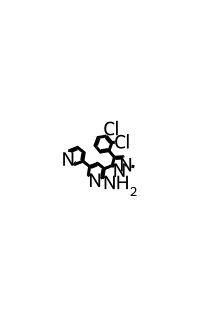 Cn1cc(-c2cccc(Cl)c2Cl)c(-c2cc(-c3cccnc3)cnc2N)n1